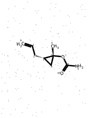 C=CC[C@H]1C[C@@]1(C)OC(N)=O